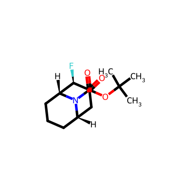 CC(C)(C)OC(=O)N1[C@H]2CCC[C@@H]1[C@@H](F)C(=O)C2